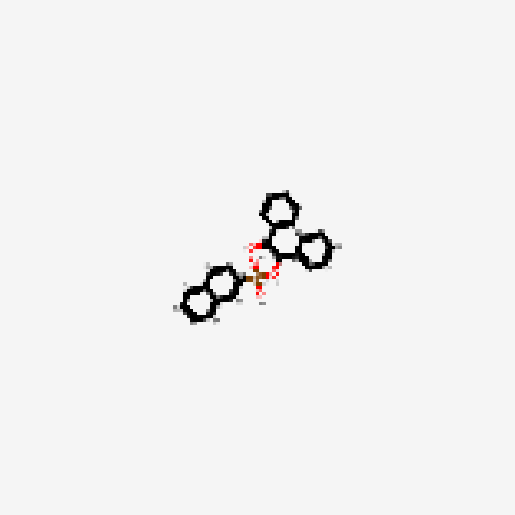 O=C(c1ccccc1)C(OS(=O)(=O)c1ccc2ccccc2c1)c1ccccc1